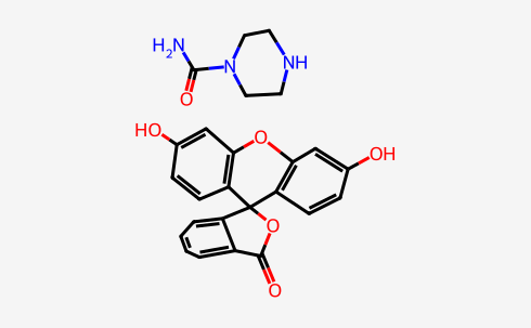 NC(=O)N1CCNCC1.O=C1OC2(c3ccc(O)cc3Oc3cc(O)ccc32)c2ccccc21